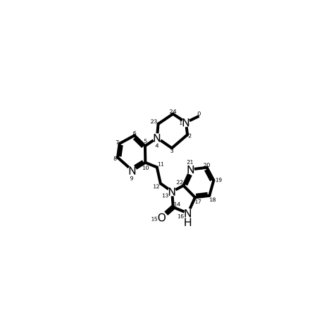 CN1CCN(c2cccnc2CCn2c(=O)[nH]c3cccnc32)CC1